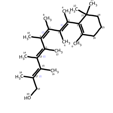 CC1=C(/C(C)=C(C)/C(C)=C(C)\C(C)=C(C)\C(C)=C(/C)CO)C(C)(C)CCC1